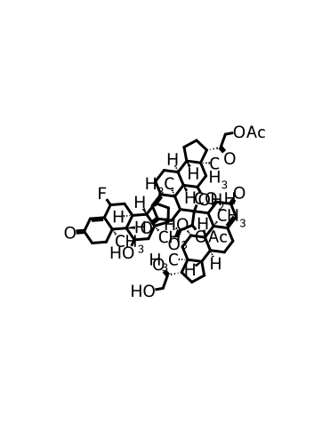 CC(=O)OCC(=O)[C@H]1CC[C@H]2[C@@H]3CCC4=CC(=O)CC(C(C(=O)O)(C(OC(C)=O)C(=O)[C@H]5CC[C@H]6[C@@H]7CC(F)C8=CC(=O)CC[C@]8(C)[C@H]7C(O)C[C@]56C)C5CC(=O)C=C6CC[C@@H]7[C@H]([C@@H](O)C[C@]8(C)[C@@H](C(=O)CO)CC[C@@H]78)[C@]65C)[C@]4(C)[C@H]3C(O)C[C@]12C